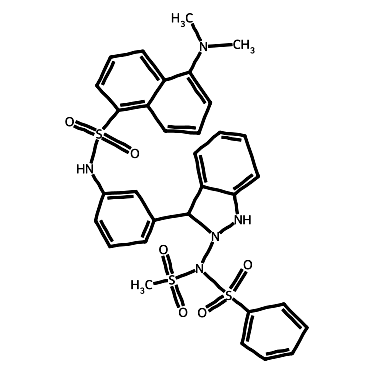 CN(C)c1cccc2c(S(=O)(=O)Nc3cccc(C4c5ccccc5NN4N(S(C)(=O)=O)S(=O)(=O)c4ccccc4)c3)cccc12